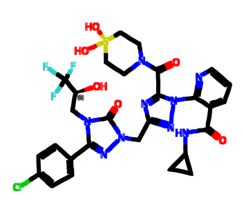 O=C(NC1CC1)c1cccnc1-n1nc(Cn2nc(-c3ccc(Cl)cc3)n(C[C@H](O)C(F)(F)F)c2=O)nc1C(=O)N1CCS(O)(O)CC1